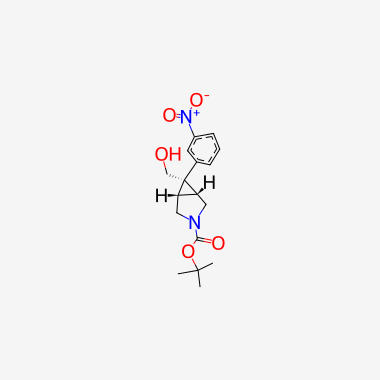 CC(C)(C)OC(=O)N1C[C@@H]2[C@H](C1)[C@@]2(CO)c1cccc([N+](=O)[O-])c1